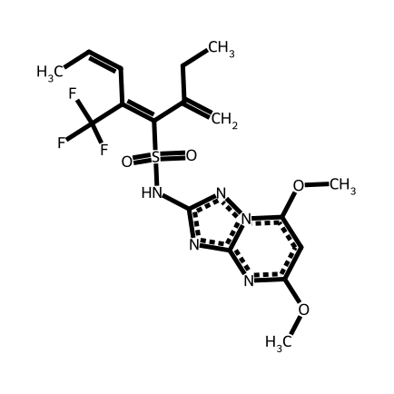 C=C(CC)/C(=C(\C=C/C)C(F)(F)F)S(=O)(=O)Nc1nc2nc(OC)cc(OC)n2n1